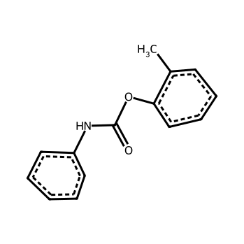 Cc1ccccc1OC(=O)Nc1ccccc1